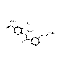 CCOC(=O)CCc1cccc(C(O)=C2C(=O)N(C(C)=O)c3cc(C(=O)OC)ccc32)c1